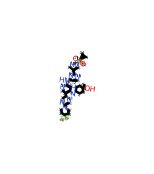 CC1(O)CCC(Nc2cc(Nc3ccnc(-c4cnn(S(=O)(=O)C5CC5)c4)n3)ncc2-c2cnc(N3CCC(F)(F)CC3)cn2)CC1